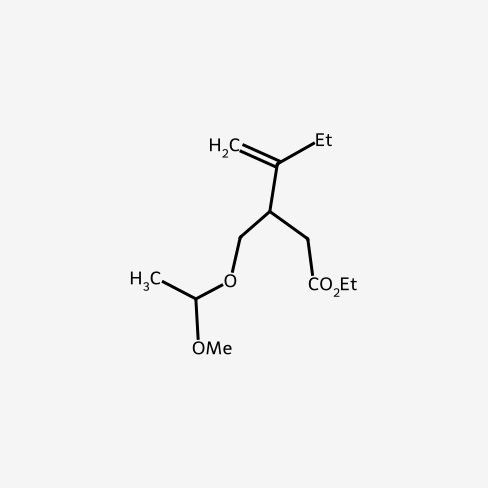 C=C(CC)C(COC(C)OC)CC(=O)OCC